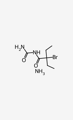 CCC(Br)(CC)C(=O)NC(N)=O.N